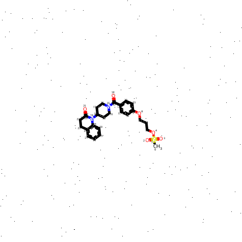 CS(=O)(=O)OCCCOc1ccc(C(=O)N2CCC(N3C(=O)CCc4ccccc43)CC2)cc1